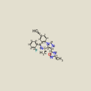 C#Cc1ccc2c(c1)C(c1ccccc1F)=N[C@@H](C)c1c(-c3nc(C)no3)ncn1-2